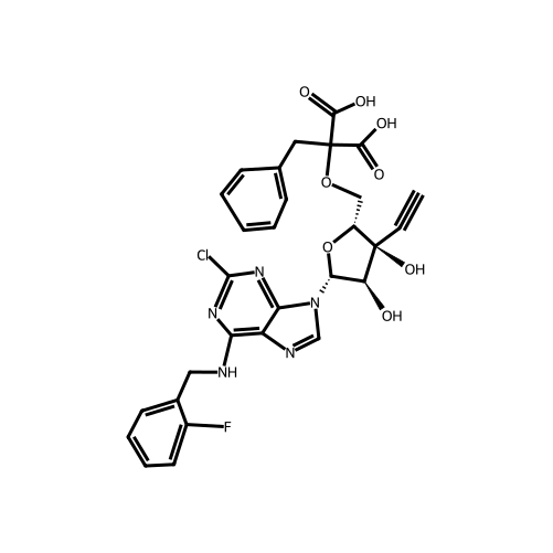 C#C[C@@]1(O)[C@@H](COC(Cc2ccccc2)(C(=O)O)C(=O)O)O[C@@H](n2cnc3c(NCc4ccccc4F)nc(Cl)nc32)[C@@H]1O